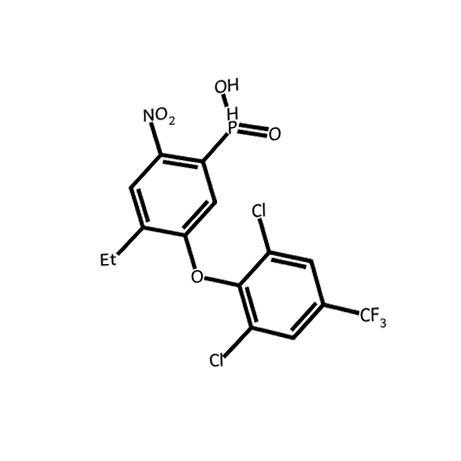 CCc1cc([N+](=O)[O-])c([PH](=O)O)cc1Oc1c(Cl)cc(C(F)(F)F)cc1Cl